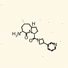 C[C@@H]1C[C@H]2CC[C@@H](C(=O)N3CC(c4cccnc4)C3)N2C(=O)[C@@H](N)C1